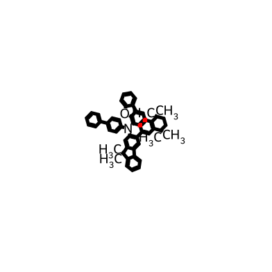 CC1(C)CCC(C)(C)c2cc(-c3cc4c(cc3N(c3ccc(-c5ccccc5)cc3)c3cccc5c3oc3ccccc35)C(C)(C)c3ccccc3-4)ccc21